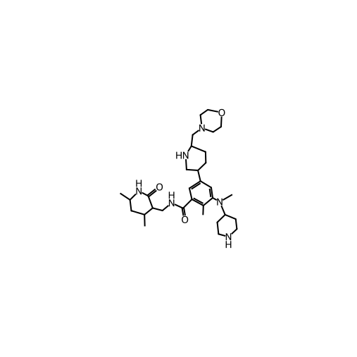 Cc1c(C(=O)NCC2C(=O)NC(C)CC2C)cc(C2CCC(CN3CCOCC3)NC2)cc1N(C)C1CCNCC1